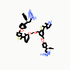 CC#C[C@@H](Cc1nnn[nH]1)c1ccc(OCc2ccc3scc(-c4cccc(OCCOCc5cc(COc6ccc([C@@H](C#CC)Cc7nnn[nH]7)cc6)cc6c(-c7cccnc7C)csc56)c4C)c3c2)cc1